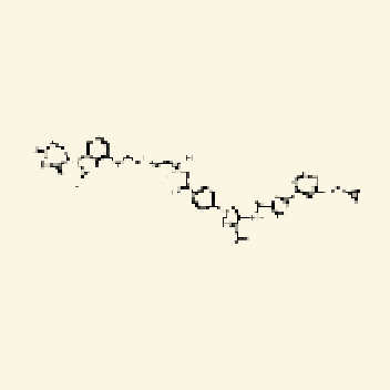 CC(C)(CCOCCCc1cccc2c1oc(=O)n2C1CCC(=O)NC1=O)NC(=O)c1ccc(-n2cc(NC(=O)c3coc(-c4ccnc(NCC5CC5)c4)n3)c(C(F)F)n2)cc1